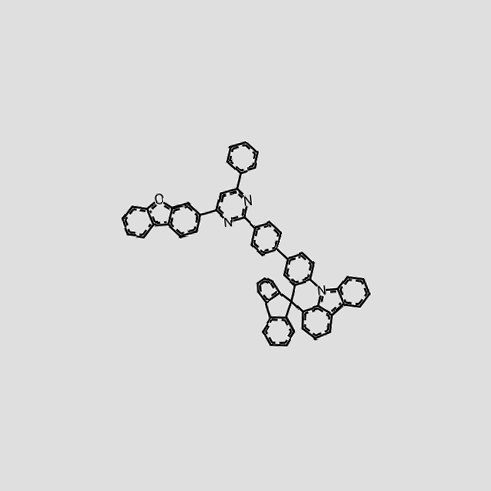 c1ccc(-c2cc(-c3ccc4c(c3)oc3ccccc34)nc(-c3ccc(-c4ccc5c(c4)C4(c6ccccc6-c6ccccc64)c4cccc6c7ccccc7n-5c46)cc3)n2)cc1